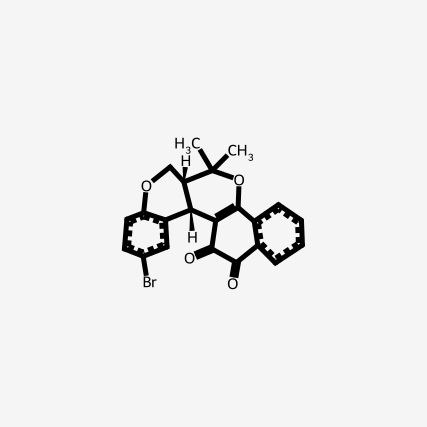 CC1(C)OC2=C(C(=O)C(=O)c3ccccc32)[C@@H]2c3cc(Br)ccc3OC[C@@H]21